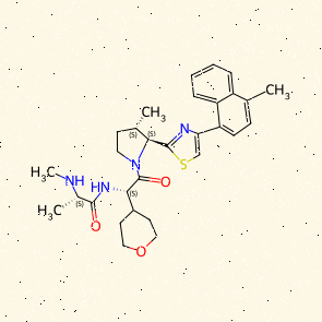 CN[C@@H](C)C(=O)N[C@H](C(=O)N1CC[C@H](C)[C@H]1c1nc(-c2ccc(C)c3ccccc23)cs1)C1CCOCC1